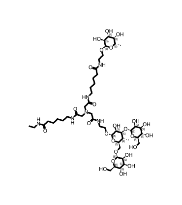 CCNC(=O)CCCCCNC(=O)CN(CC(=O)NCCCCCC(=O)NCCO[C@@H]1O[C@@H](C)[C@@H](O)[C@@H](O)[C@@H]1O)CC(=O)NCCO[C@H]1O[C@H](CO[C@H]2O[C@H](CO)[C@@H](O)[C@H](O)[C@@H]2O)[C@@H](C)[C@H](O[C@H]2O[C@H](CO)[C@@H](O)[C@H](O)[C@@H]2O)[C@@H]1O